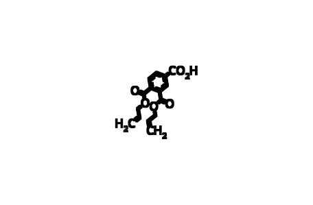 C=CCOC(=O)c1ccc(C(=O)O)cc1C(=O)OCC=C